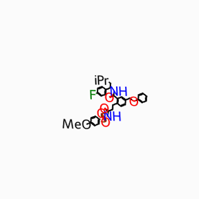 COc1ccc(S(=O)(=O)NC(=O)CCc2ccc(COc3ccccc3)cc2C(=O)NC(CC(C)C)c2ccc(F)cc2)cc1